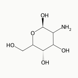 NC1C(O)[C@H](O)C(CO)O[C@H]1O